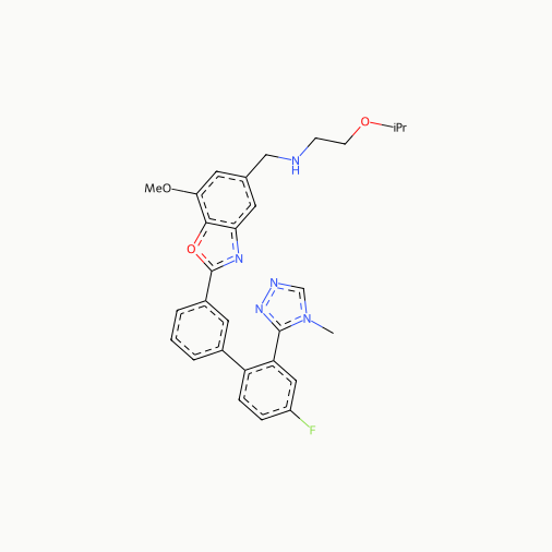 COc1cc(CNCCOC(C)C)cc2nc(-c3cccc(-c4ccc(F)cc4-c4nncn4C)c3)oc12